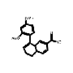 COc1ccc(C2=CCCC3C=CC(C(=O)N=O)=CC23)c(OC)c1